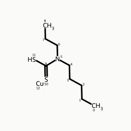 CCCCCN(CCC)C(=S)S.[Cu]